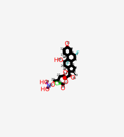 C[C@@H]1CC2C3C[C@H](F)C4=CC(=O)C=C[C@]4(C)[C@@]3(F)[C@@H](O)C[C@]2(C)[C@@]1(OC(=O)CCCON(O)O)C(=O)COC(=O)Cl